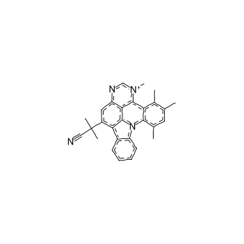 Cc1cc(C)c2c(c1C)c1c3c(cc(C(C)(C)C#N)c4c5ccccc5n2c43)nc[n+]1C